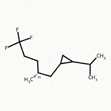 CC(C)C1CC1C[C@H](C)CCC(F)(F)F